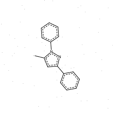 [CH2]c1cc(-c2ccccc2)nn1-c1ccccc1